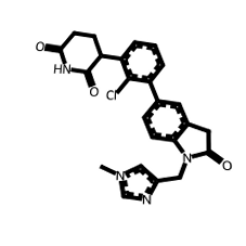 Cn1cnc(CN2C(=O)Cc3cc(-c4cccc(C5CCC(=O)NC5=O)c4Cl)ccc32)c1